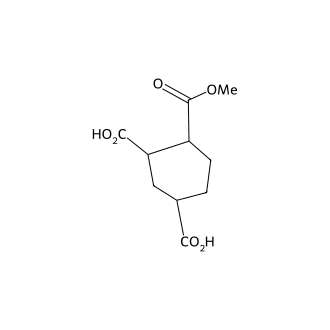 COC(=O)C1CCC(C(=O)O)CC1C(=O)O